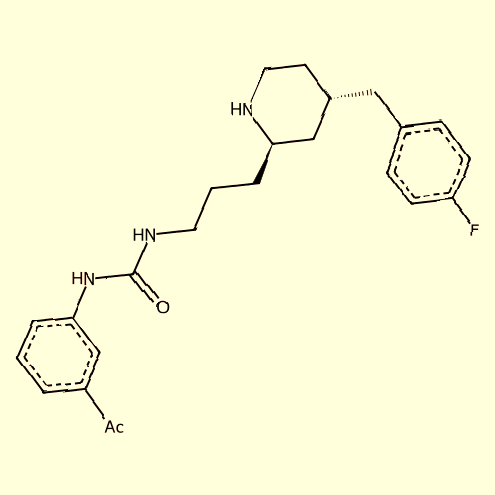 CC(=O)c1cccc(NC(=O)NCCC[C@@H]2C[C@@H](Cc3ccc(F)cc3)CCN2)c1